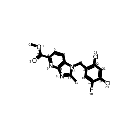 COC(=O)c1ccc2c(n1)nc(C)n2Cc1cc(F)c(Cl)cc1Cl